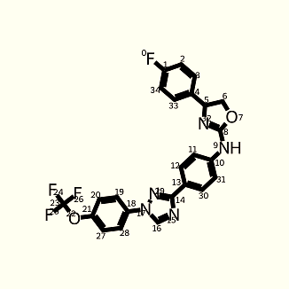 Fc1ccc(C2COC(Nc3ccc(-c4ncn(-c5ccc(OC(F)(F)F)cc5)n4)cc3)=N2)cc1